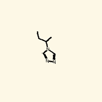 CCC(C)n1[c]nnc1